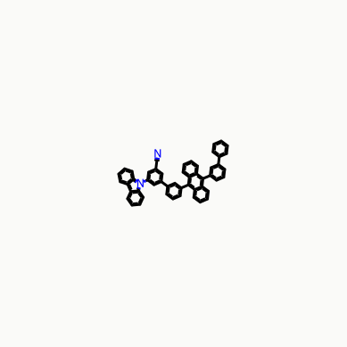 N#Cc1cc(-c2cccc(-c3c4ccccc4c(-c4cccc(-c5ccccc5)c4)c4ccccc34)c2)cc(-n2c3ccccc3c3ccccc32)c1